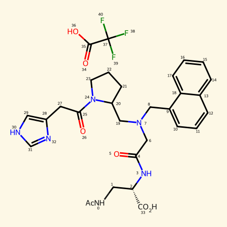 CC(=O)NC[C@H](NC(=O)CN(Cc1cccc2ccccc12)CC1CCCN1C(=O)Cc1c[nH]cn1)C(=O)O.O=C(O)C(F)(F)F